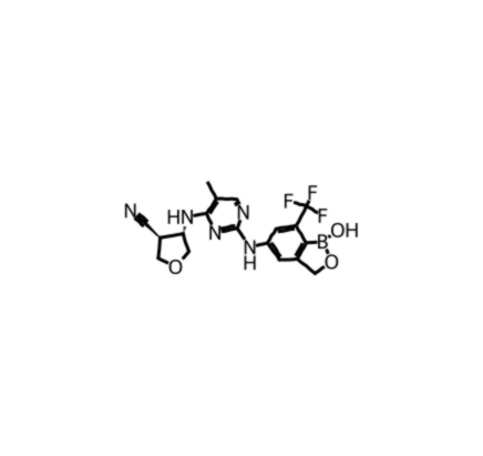 Cc1cnc(Nc2cc3c(c(C(F)(F)F)c2)B(O)OC3)nc1N[C@@H]1COC[C@H]1C#N